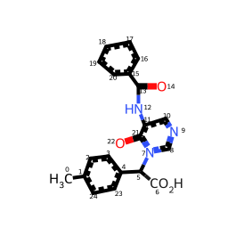 Cc1ccc(C(C(=O)O)n2cncc(NC(=O)c3ccccc3)c2=O)cc1